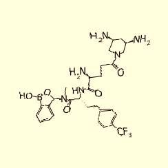 CN(C(=O)[C@@H](CCc1ccc(C(F)(F)F)cc1)NC(=O)[C@@H](N)CCC(=O)N1C[C@H](N)C[C@H](N)C1)[C@@H]1OB(O)c2ccccc21